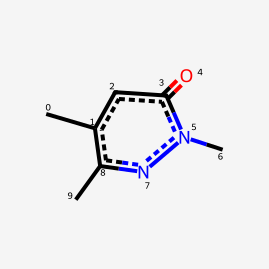 Cc1cc(=O)n(C)nc1C